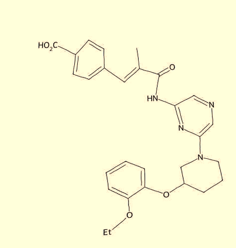 CCOc1ccccc1OC1CCCN(c2cncc(NC(=O)C(C)=Cc3ccc(C(=O)O)cc3)n2)C1